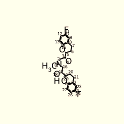 CN(CC(=O)C1CCc2cc(F)ccc2O1)C[C@@H](O)C1CCc2cc(F)ccc2O1